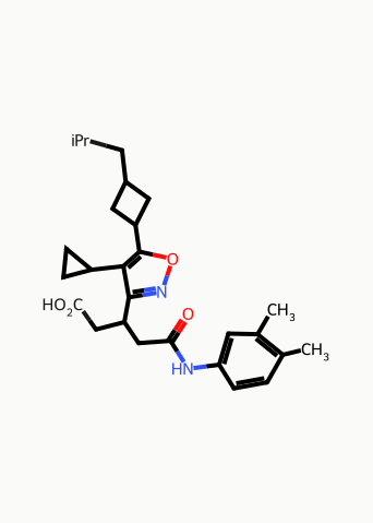 Cc1ccc(NC(=O)CC(CC(=O)O)c2noc(C3CC(CC(C)C)C3)c2C2CC2)cc1C